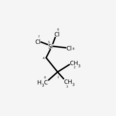 CC(C)(C)C[Si](Cl)(Cl)Cl